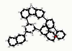 c1ccc(-c2ccc(-c3ccc4oc5cccc(-c6nc(-c7ccc8ccccc8c7)nc(-c7ccc8ccccc8c7)n6)c5c4c3)cc2)cc1